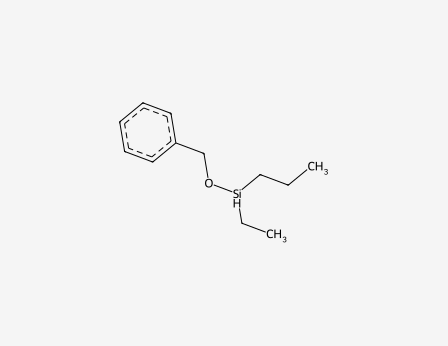 CCC[SiH](CC)OCc1ccccc1